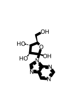 OC[C@H]1O[C@](O)(n2cnc3cncnc32)[C@H](O)[C@@H]1O